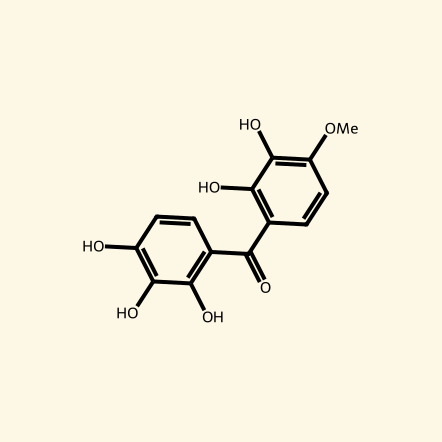 COc1ccc(C(=O)c2ccc(O)c(O)c2O)c(O)c1O